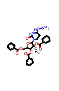 CC1(OC(=O)c2ccccc2)C(OC(=O)c2ccccc2)C(COC(=O)c2ccccc2)OC1N1C=CC(NN)NC1=O